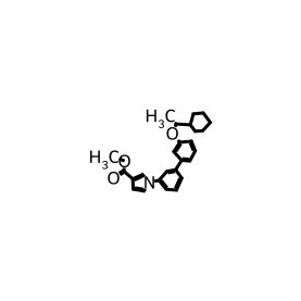 COC(=O)c1ccn(-c2cccc(-c3cccc(O[C@@H](C)C4CCCCC4)c3)c2)c1